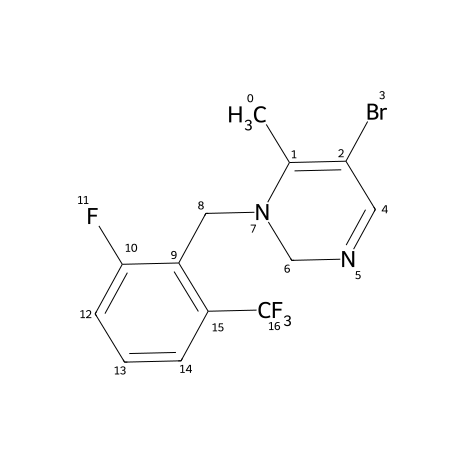 CC1=C(Br)C=NCN1Cc1c(F)cccc1C(F)(F)F